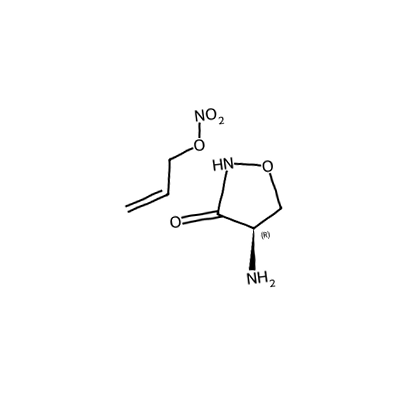 C=CCO[N+](=O)[O-].N[C@@H]1CONC1=O